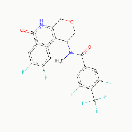 CN(C(=O)c1cc(F)c(C(F)(F)F)c(F)c1)C1COCc2[nH]c(=O)c3cc(F)c(F)cc3c21